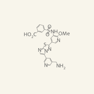 COc1ncc(-c2nn3c(-c4cncc(CN)c4)cnc3s2)cc1NS(=O)(=O)c1cccc(C(=O)O)c1